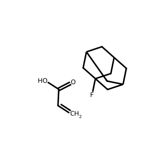 C=CC(=O)O.FC12CC3CC(CC(C3)C1)C2